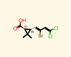 CC1(C)[C@@H](C=C(Br)C=C(Cl)Cl)[C@@H]1C(=O)O